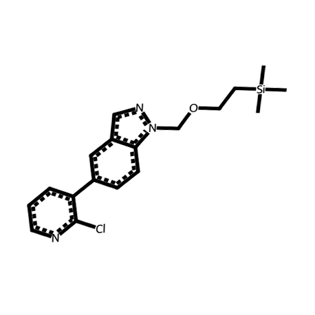 C[Si](C)(C)CCOCn1ncc2cc(-c3cccnc3Cl)ccc21